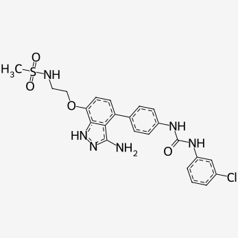 CS(=O)(=O)NCCOc1ccc(-c2ccc(NC(=O)Nc3cccc(Cl)c3)cc2)c2c(N)n[nH]c12